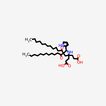 CCCCCCCCCCCC(=O)C1(C(=O)CCCCCCCCCCC)CC(CCC(=O)O)(CCC(=O)O)NC1c1ccc[nH]1